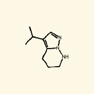 CC(C)c1cnn2c1CCCN2